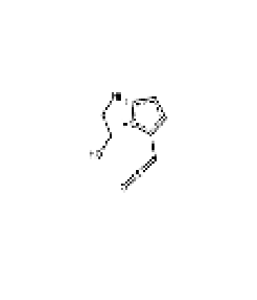 NCCO.O=C=Cc1ccc[nH]1